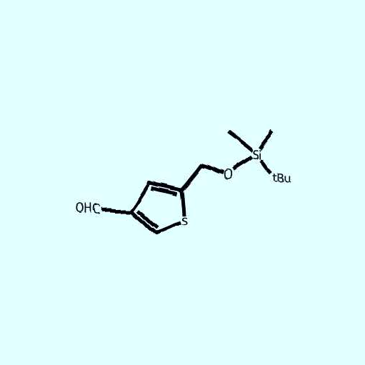 CC(C)(C)[Si](C)(C)OCc1cc(C=O)cs1